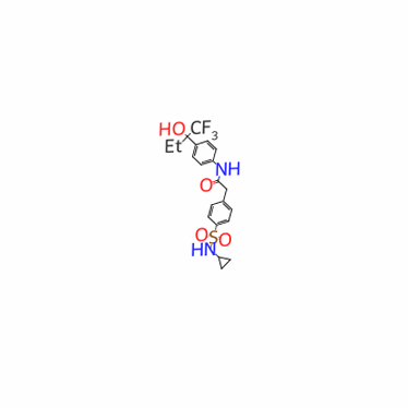 CCC(O)(c1ccc(NC(=O)Cc2ccc(S(=O)(=O)NC3CC3)cc2)cc1)C(F)(F)F